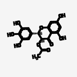 CC(=O)O[C@@H]1C(=O)c2c(O)cc(O)cc2O[C@H]1c1cc(O)c(O)c(O)c1